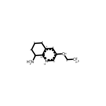 NC1CCCc2cc(OCC(F)(F)F)cnc21